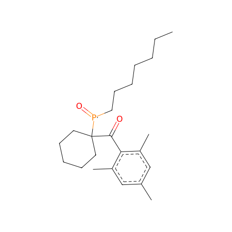 CCCCCCC[P](=O)C1(C(=O)c2c(C)cc(C)cc2C)CCCCC1